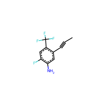 CC#Cc1cc(N)c(F)cc1C(F)(F)F